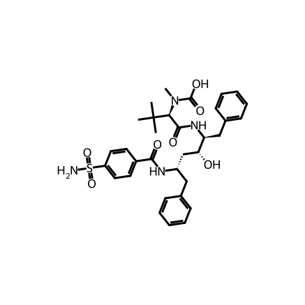 CN(C(=O)O)[C@@H](C(=O)N[C@@H](Cc1ccccc1)[C@H](O)C[C@H](Cc1ccccc1)NC(=O)c1ccc(S(N)(=O)=O)cc1)C(C)(C)C